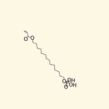 C=CC(=O)OCCCCCCCCCCCCCCOP(=O)(O)O